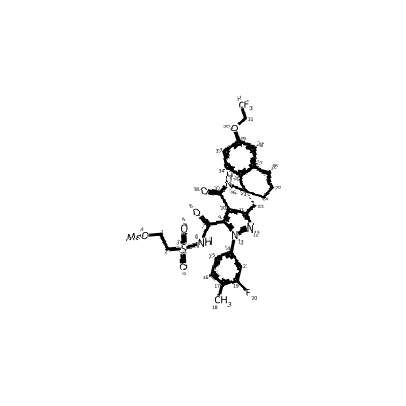 COCCS(=O)(=O)NC(=O)c1c2c(nn1-c1ccc(C)c(F)c1)C[C@]1(CCCc3cc(OCC(F)(F)F)ccc31)NC2=O